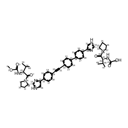 COC(=O)N[C@H](C(=O)N1CCC[C@H]1c1nc(-c2ccc(C#Cc3ccc(-c4ccc(-c5c[nH]c([C@@H]6CCCN6C(=O)[C@@H](NC(=O)O)C(C)C)n5)cc4)cc3)cc2)c[nH]1)C(C)C